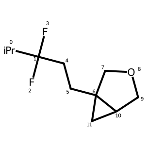 CC(C)C(F)(F)CCC12COCC1C2